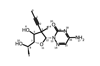 CC#CC1(F)C(O)[C@@H]([C@@H](C)O)O[C@H]1n1ncc(N)nc1=O